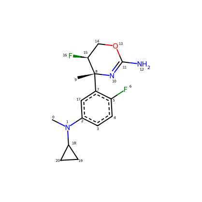 CN(c1ccc(F)c([C@@]2(C)N=C(N)OC[C@@H]2F)c1)C1CC1